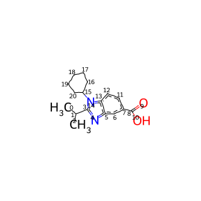 CC(C)c1nc2cc(C(=O)O)ccc2n1C1CCCCC1